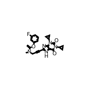 C=C(Oc1cccc(F)c1)N(C)CC#Cc1nc2c([nH]1)c(=O)n(C1CC1)c(=O)n2C1CC1